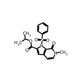 CC(C)OC(=O)c1cc2ccn(C)c(=O)c2n1S(=O)(=O)c1ccccc1